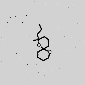 CCCC1(C)CCCC2(CCCCO2)O1